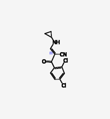 N#C/C(=C\NC1CC1)C(=O)c1ccc(Cl)cc1Cl